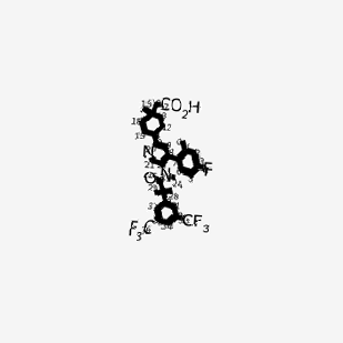 Cc1cc(F)ccc1-c1cc(C2CCC(C)(CC(=O)O)CC2)ncc1N(C)C(=O)C(C)(C)c1cc(C(F)(F)F)cc(C(F)(F)F)c1